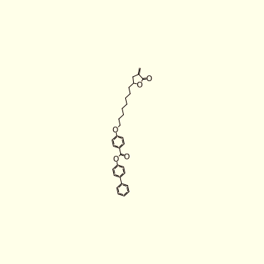 C=C1CC(CCCCCCCCOc2ccc(C(=O)Oc3ccc(-c4ccccc4)cc3)cc2)OC1=O